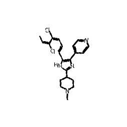 C\C=C(Cl)/C(Cl)=C\C=C\c1[nH]c(C2CCN(C)CC2)nc1-c1ccncc1